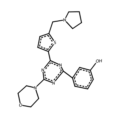 Oc1cccc(-c2nc(-c3ccc(CN4CCCC4)s3)nc(N3CCOCC3)n2)c1